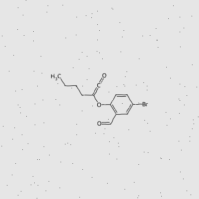 CCCCC(=C=O)Oc1ccc(Br)cc1C=O